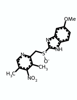 COc1ccc2[nH]c([S@+]([O-])Cc3ncc(C)c([N+](=O)[O-])c3C)nc2c1